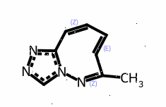 CC1=N\n2cnnc2\C=C/C=C/1